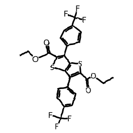 CCOC(=O)c1sc2c(-c3ccc(C(F)(F)F)cc3)c(C(=O)OCC)sc2c1-c1ccc(C(F)(F)F)cc1